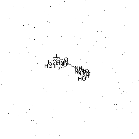 CC1(C)O[C@@H]2[C@H](O1)[C@@H](CO)O[C@H]2n1cnc2c(NCCCCCCNC(=O)[C@H](Cc3cc(I)c(Oc4cc(I)c(O)c(I)c4)c(I)c3)NC(=O)C(F)(F)F)ncnc21